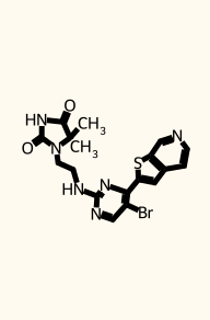 CC1(C)C(=O)NC(=O)N1CCNc1ncc(Br)c(-c2cc3ccncc3s2)n1